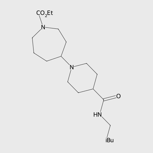 CCOC(=O)N1CCCC(N2CCC(C(=O)NCC(C)CC)CC2)CC1